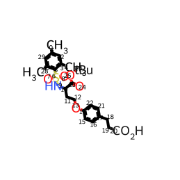 Cc1cc(C)c(S(=O)(=O)NC(CCOc2ccc(CCC(=O)O)cc2)C(=O)OC(C)(C)C)c(C)c1